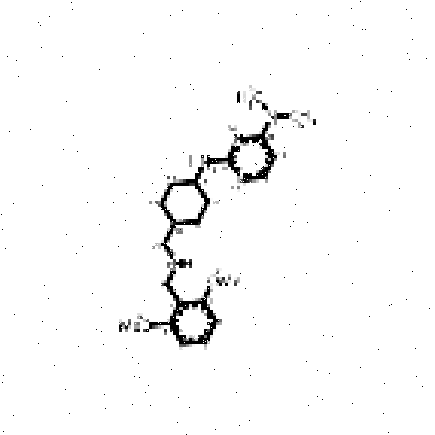 COc1cccc(OC)c1CNCC1CCC(Nc2nccc(N(C)C)n2)CC1